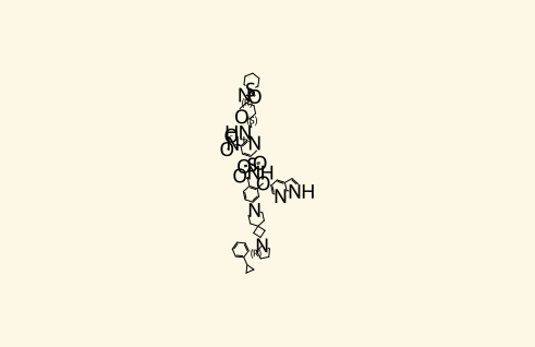 O=C(NS(=O)(=O)c1cnc(NC[C@@H]2CC[C@@H](N=S3(=O)CCCCC3)CO2)c([N+](=O)[O-])c1)c1ccc(N2CCC3(CC2)CC(N2CCC[C@@H]2c2ccccc2C2CC2)C3)cc1Oc1cnc2[nH]ccc2c1